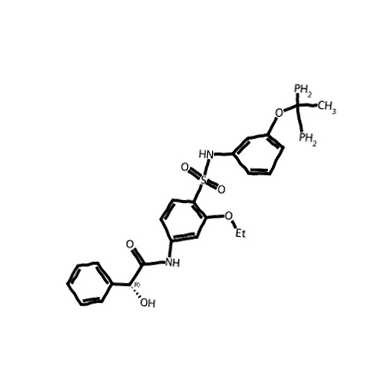 CCOc1cc(NC(=O)[C@H](O)c2ccccc2)ccc1S(=O)(=O)Nc1cccc(OC(C)(P)P)c1